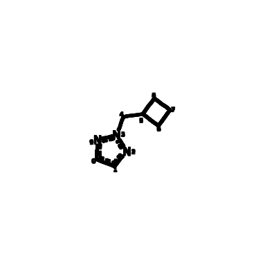 c1cnn(CC2CCC2)n1